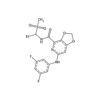 CCC(NC(=O)c1nc(Nc2cc(F)cc(F)c2)cc2c1OCO2)S(C)(=O)=O